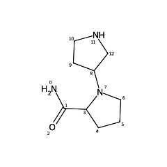 NC(=O)C1CCCN1C1CCNC1